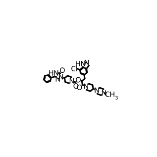 CN1CCN(C2CCN(C(=O)C(Cc3cc(Cl)c4[nH]ncc4c3)OC(=O)N3CCC(n4nc(-c5ccccc5)[nH]c4=O)CC3)CC2)CC1